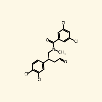 CN(C[C@@H](CC=O)c1ccc(Cl)c(Cl)c1)C(=O)c1cc(Cl)cc(Cl)c1